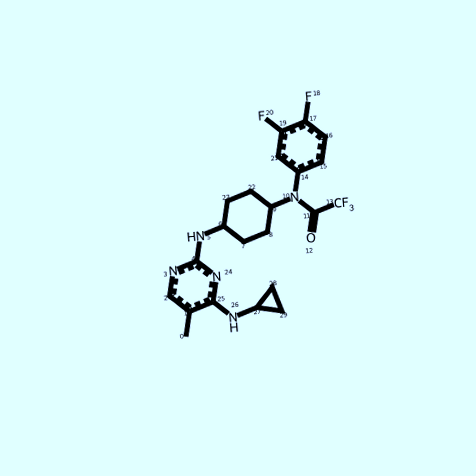 Cc1cnc(NC2CCC(N(C(=O)C(F)(F)F)c3ccc(F)c(F)c3)CC2)nc1NC1CC1